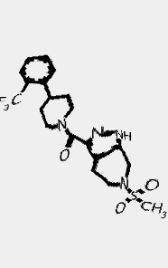 CS(=O)(=O)N1CCc2c(C(=O)N3CCC(c4ccccc4C(F)(F)F)CC3)n[nH]c2C1